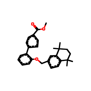 COC(=O)c1ccc(-c2ccccc2OCc2ccc3c(c2)C(C)(C)CCC3(C)C)cc1